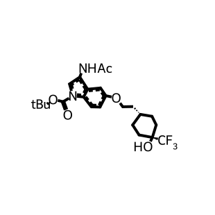 CC(=O)Nc1cn(C(=O)OC(C)(C)C)c2ccc(OCC[C@H]3CC[C@](O)(C(F)(F)F)CC3)cc12